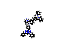 c1ccc(-c2cc(-c3ccccc3)nc(-c3ccc(-n4c5ccc(-c6ccc7c(c6)c6ccccc6n7-c6ccccc6)cc5c5ncccc54)cc3)n2)cc1